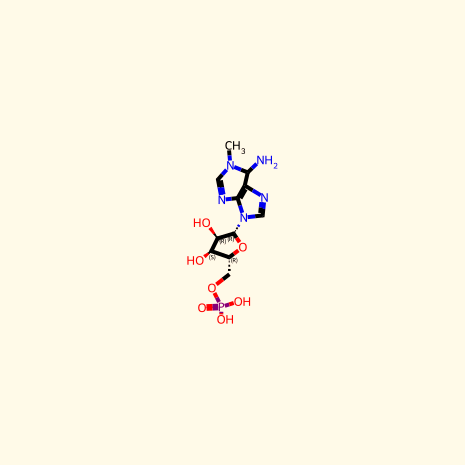 CN1C=Nc2c(ncn2[C@@H]2O[C@H](COP(=O)(O)O)[C@@H](O)[C@H]2O)C1N